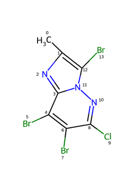 Cc1nc2c(Br)c(Br)c(Cl)nn2c1Br